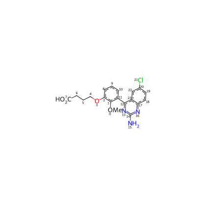 COc1c(OCCCC(=O)O)cccc1-c1nc(N)nc2ccc(Cl)cc12